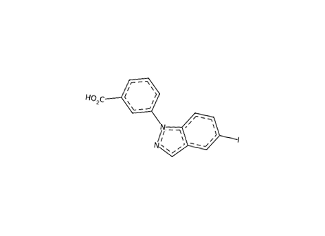 O=C(O)c1cccc(-n2ncc3cc(I)ccc32)c1